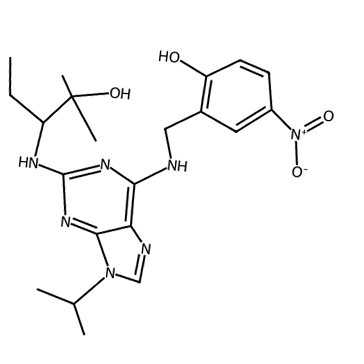 CCC(Nc1nc(NCc2cc([N+](=O)[O-])ccc2O)c2ncn(C(C)C)c2n1)C(C)(C)O